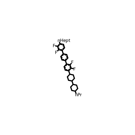 CCCCCCCc1ccc(-c2ccc(-c3ccc(C4CCC(C5CCC(CCC)CC5)CC4)c(F)c3F)cc2)c(F)c1F